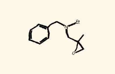 CCN(Cc1ccccc1)CC1(C)CO1